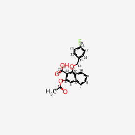 CC(=O)Oc1cc2ccccc2c(OCc2ccc(F)cc2)c1C(=O)O